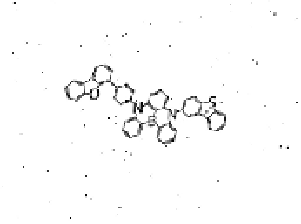 c1ccc2c(c1)B1c3ccccc3N(c3ccc4sc5ccccc5c4c3)c3cccc(c31)N2c1ccc(-c2cccc3c2oc2ccccc23)cc1